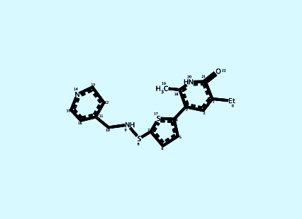 CCc1cc(-c2ccc(SNCc3ccncc3)s2)c(C)[nH]c1=O